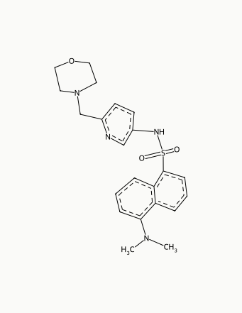 CN(C)c1cccc2c(S(=O)(=O)Nc3ccc(CN4CCOCC4)nc3)cccc12